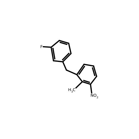 Cc1c(Cc2cccc(F)c2)cccc1[N+](=O)[O-]